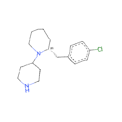 Clc1ccc(C[C@H]2CCCCN2C2CCNCC2)cc1